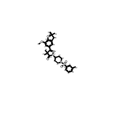 COc1cc(C2=NN(C3CCN(S(=O)(=O)c4cccc(C)c4)CC3)C(=O)C2(C)C)cc2c1OC(C)(C)C2